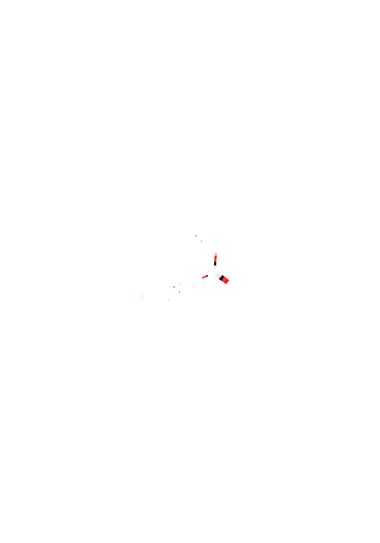 O=[Si]([O-])[O-].[Na+].[Na+].[PbH2]